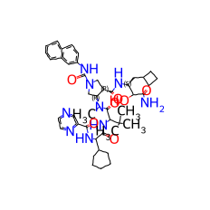 CN(C(=O)C(NC(=O)C(NC(=O)c1cnccn1)C1CCCCC1)C(C)(C)C)[C@H]1CN(C(=O)Nc2ccc3ccccc3c2)C[C@H]1C(=O)N[C@@H](CC1CCC1)C(O)C(N)=O